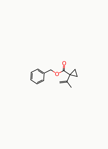 C=C(C)C1(C(=O)OCc2ccccc2)CC1